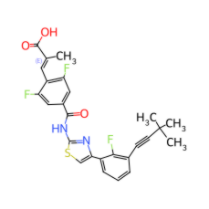 C/C(=C\c1c(F)cc(C(=O)Nc2nc(-c3cccc(C#CC(C)(C)C)c3F)cs2)cc1F)C(=O)O